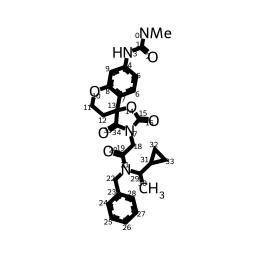 CNC(=O)Nc1ccc2c(c1)OCCC21OC(=O)N(CC(=O)N(Cc2ccccc2)C(C)C2CC2)C1=O